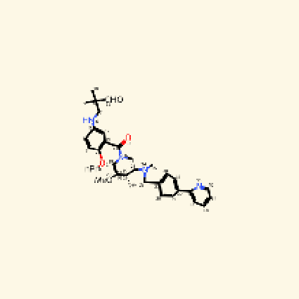 CCCOc1ccc(NCC(C)(C)C=O)cc1C(=O)N(C)C[C@H](OC)[C@@H](C)CN(C)Cc1ccc(-c2ccccn2)cc1